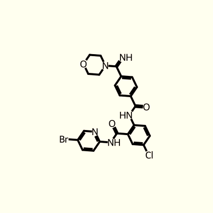 N=C(c1ccc(C(=O)Nc2ccc(Cl)cc2C(=O)Nc2ccc(Br)cn2)cc1)N1CCOCC1